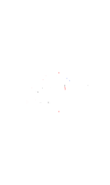 CNC(=O)C(O)C1O[C@H](CO)[C@@H](O)[C@H](O)[C@H]1O